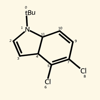 CC(C)(C)N1C=CC2C(Cl)=C(Cl)C=CC21